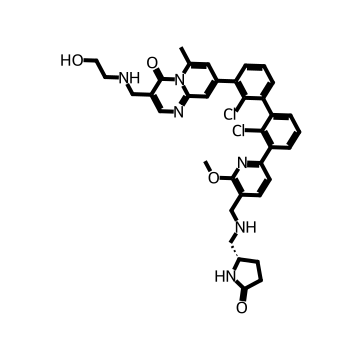 COc1nc(-c2cccc(-c3cccc(-c4cc(C)n5c(=O)c(CNCCO)cnc5c4)c3Cl)c2Cl)ccc1CNC[C@@H]1CCC(=O)N1